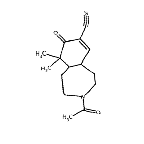 CC(=O)N1CCC2C=C(C#N)C(=O)C(C)(C)C2CC1